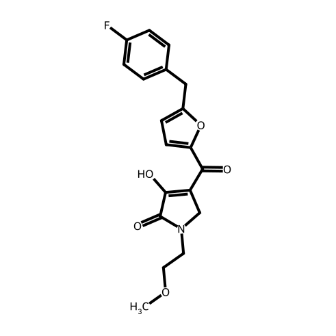 COCCN1CC(C(=O)c2ccc(Cc3ccc(F)cc3)o2)=C(O)C1=O